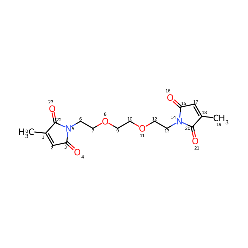 CC1=CC(=O)N(CCOCCOCCN2C(=O)C=C(C)C2=O)C1=O